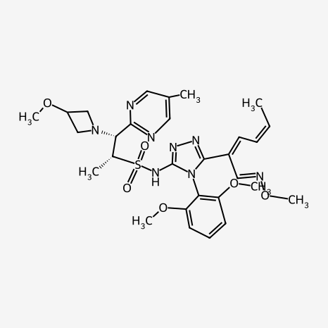 C\C=C/C=C(\C=N\OC)c1nnc(NS(=O)(=O)[C@H](C)[C@@H](c2ncc(C)cn2)N2CC(OC)C2)n1-c1c(OC)cccc1OC